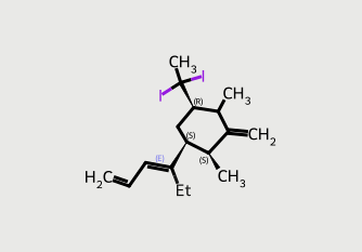 C=C/C=C(\CC)[C@H]1C[C@@H](C(C)(I)I)C(C)C(=C)[C@H]1C